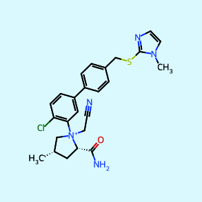 C[C@H]1C[C@@H](C(N)=O)[N+](CC#N)(c2cc(-c3ccc(CSc4nccn4C)cc3)ccc2Cl)C1